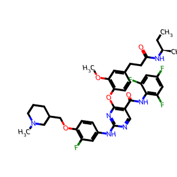 CC[C@@H](C)NC(=O)CCc1ccc(Oc2nc(Nc3ccc(OCC4CCCN(C)C4)c(F)c3)ncc2C(=O)Nc2c(F)cc(F)cc2F)c(OC)c1